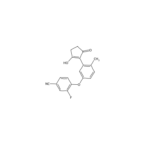 Cc1ccc(Oc2ccc(C#N)cc2F)cc1C1=C(O)CCC1=O